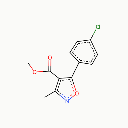 COC(=O)c1c(C)noc1-c1ccc(Cl)cc1